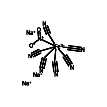 N#[C][Fe-3]([C]#N)([C]#N)([C]#N)([C]#N)([C]#N)[N+](=O)[O-].[Na+].[Na+].[Na+]